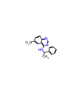 CC(Nc1ncnc2ccc([N+](=O)[O-])cc12)c1ccccc1